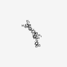 Cc1c(NCCc2ccc(Cl)c(Cl)c2)ncnc1C(=O)N1CCC(N2CCC(NC(=O)C(C)C)CC2)CC1